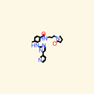 Cc1ccc(C(=O)NCCCN2CCCC2=O)cc1Nc1nccc(-c2cccnc2)n1